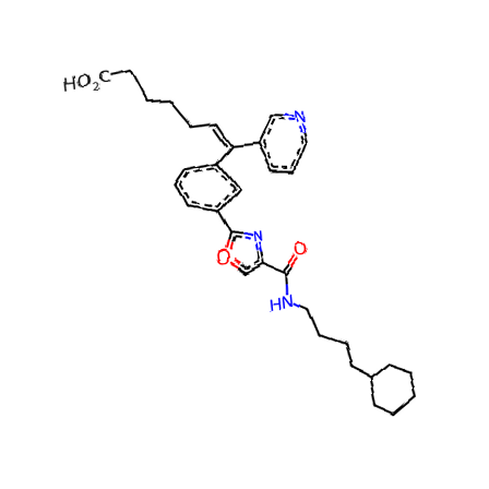 O=C(O)CCCCC=C(c1cccnc1)c1cccc(-c2nc(C(=O)NCCCCC3CCCCC3)co2)c1